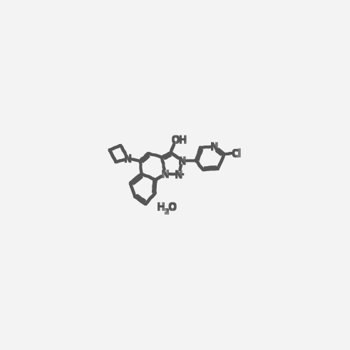 O.OC1=C2C=C(N3CCC3)c3ccccc3N2[N]N1c1ccc(Cl)nc1